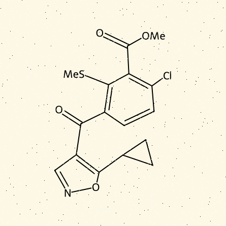 COC(=O)c1c(Cl)ccc(C(=O)c2cnoc2C2CC2)c1SC